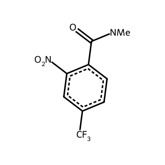 CNC(=O)c1ccc(C(F)(F)F)cc1[N+](=O)[O-]